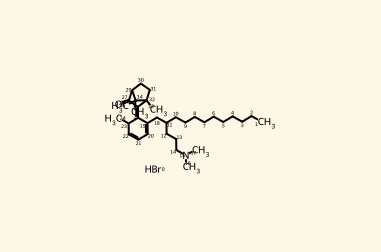 Br.CCCCCCCCCCC(CCCN(C)C)CC1=CC=CC(C)C1=C1C(=O)C2CCC1(C)C2(C)C